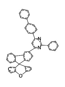 c1ccc(-c2ccc(-c3cc(-c4ccc5c(c4)-c4ccccc4C54c5ccccc5Oc5ccccc54)nc(-c4ccccc4)n3)cc2)cc1